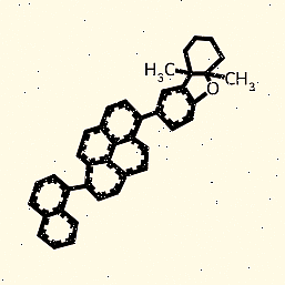 CC12CCCCC1(C)c1cc(-c3ccc4ccc5c(-c6cccc7ccccc67)ccc6ccc3c4c65)ccc1O2